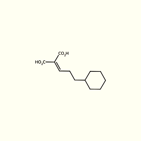 O=C(O)C(=CCCC1CCCCC1)C(=O)O